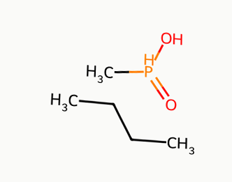 CCCC.C[PH](=O)O